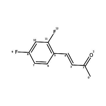 CC(=O)C=Cc1ccc(F)cc1F